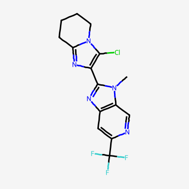 Cn1c(-c2nc3n(c2Cl)CCCC3)nc2cc(C(F)(F)F)ncc21